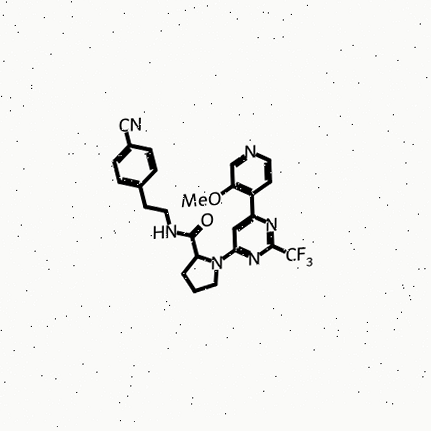 COc1cnccc1-c1cc(N2CCCC2C(=O)NCCc2ccc(C#N)cc2)nc(C(F)(F)F)n1